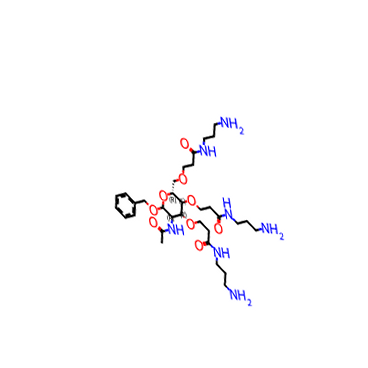 CC(=O)N[C@H]1C(OCc2ccccc2)O[C@H](COCCC(=O)NCCCN)[C@@H](OCCC(=O)NCCCN)[C@@H]1OCCC(=O)NCCCN